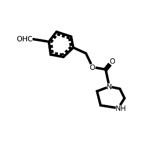 O=Cc1ccc(COC(=O)N2CCNCC2)cc1